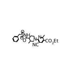 CCOC(=O)c1cc(C#N)c(N2CCC(C(=O)NS(=O)(=O)Cc3ccccc3)C(C)C2)nc1C